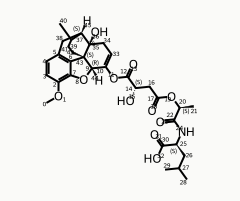 COc1ccc2c3c1O[C@H]1C(OC(=O)[C@@H](O)CC(=O)O[C@@H](C)C(=O)N[C@@H](CC(C)C)C(=O)O)=CC[C@@]4(O)[C@@H](C2)C(C)CC[C@]314